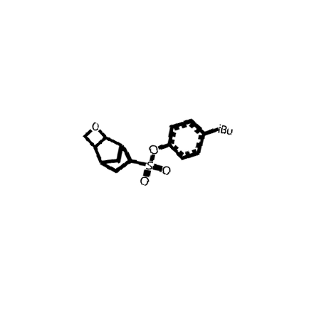 CCC(C)c1ccc(OS(=O)(=O)C2CC3CC2C2OCC32)cc1